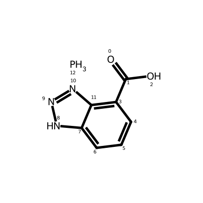 O=C(O)c1cccc2[nH]nnc12.P